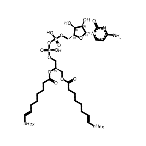 CCCCCCC=CCCCCCC(=O)OC[C@H](COP(=O)(O)OP(=O)(O)OC[C@H]1O[C@@H](n2ccc(N)nc2=O)[C@H](O)[C@@H]1O)OC(=O)CCCCCC=CCCCCCC